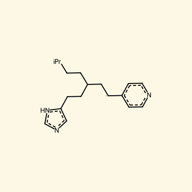 CC(C)CCC(C[CH]c1ccncc1)CCc1cnc[nH]1